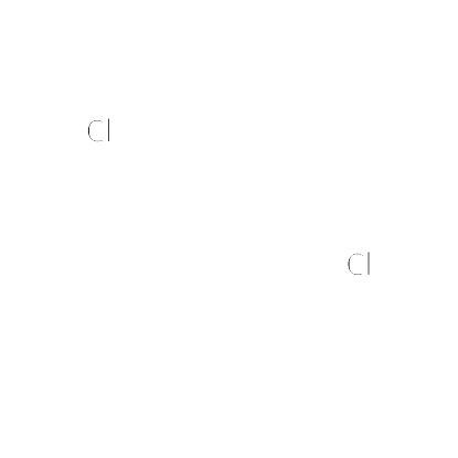 CCC1=C(Cl)CCC=C1Cl